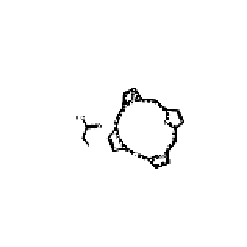 C1=Cc2cc3ccc(cc4nc(cc5ccc(cc1n2)[nH]5)C=C4)[nH]3.CCC(=O)O